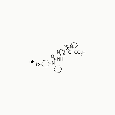 CCCO[C@H]1CC[C@H](N(C(=O)Nc2ncc(S(=O)(=O)N3CCC[C@@H]3C(=O)O)s2)C2CCCCC2)CC1